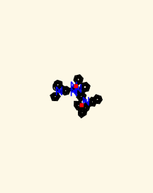 c1ccc(-c2nc(-c3ccc4c(c3)c3ccccc3n4-c3ccccc3)nc(-c3cc(-c4ccccc4)c(-n4c5cc6ccccc6cc5c5cc6ccccc6cc54)cc3-c3ccccc3)n2)cc1